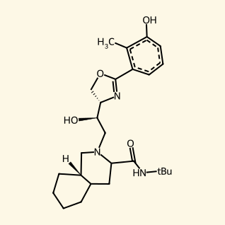 Cc1c(O)cccc1C1=N[C@H]([C@H](O)CN2C[C@H]3CCCCC3CC2C(=O)NC(C)(C)C)CO1